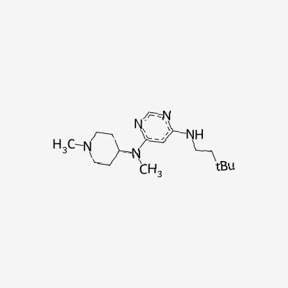 CN1CCC(N(C)c2cc(NCCC(C)(C)C)ncn2)CC1